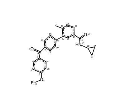 [CH2]COc1ccc(C(=O)c2ccc(-c3cc(C(=O)NC4CC4)ccc3C)cc2)cc1